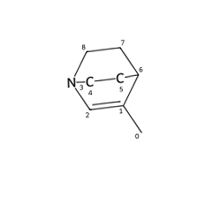 CC1=CN2CCC1CC2